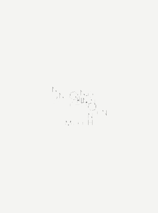 COCCNc1cc(NC(=O)N(C)c2ccc(CN3CCN(C)CC3=O)c(C=O)n2)ncc1C#N